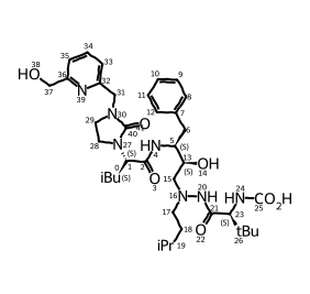 CC[C@H](C)[C@@H](C(=O)N[C@@H](Cc1ccccc1)[C@@H](O)CN(CCC(C)C)NC(=O)[C@@H](NC(=O)O)C(C)(C)C)N1CCN(Cc2cccc(CO)n2)C1=O